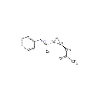 CC/C(=C\c1ccccc1)[C@@H]1C[C@H]1NC(=O)C(F)(F)F